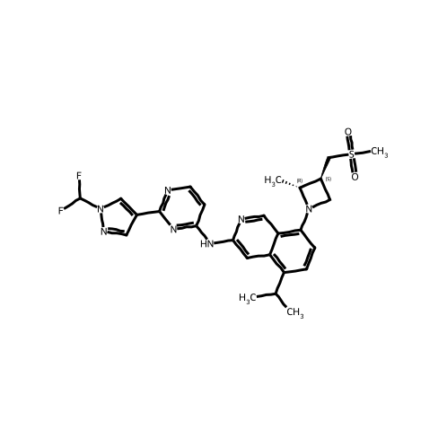 CC(C)c1ccc(N2C[C@H](CS(C)(=O)=O)[C@H]2C)c2cnc(Nc3ccnc(-c4cnn(C(F)F)c4)n3)cc12